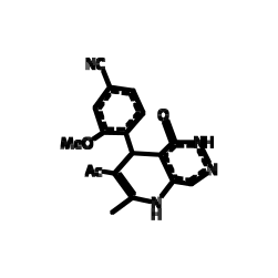 COc1cc(C#N)ccc1C1C(C(C)=O)=C(C)Nc2cn[nH]c(=O)c21